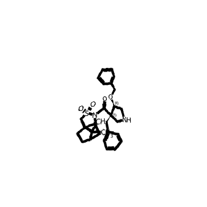 CC1(C)C2CCC13CS(=O)(=O)N(C(=O)[C@@]1(Cc4ccccc4)CNC[C@@H]1OCc1ccccc1)C3C2